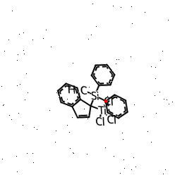 C[Si](c1ccccc1)(c1ccccc1)[C]1([Ti]([Cl])([Cl])[Cl])C=Cc2ccccc21